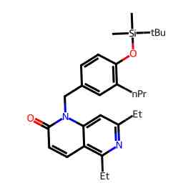 CCCc1cc(Cn2c(=O)ccc3c(CC)nc(CC)cc32)ccc1O[Si](C)(C)C(C)(C)C